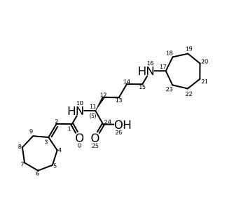 O=C(C=C1CCCCCC1)N[C@@H](CCCCNC1CCCCCC1)C(=O)O